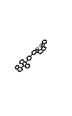 c1ccc2c(-c3c4ccccc4c(-c4ccc(-c5ccc6oc7c(ccc8ccc9c%10ccccc%10oc9c87)c6c5)cc4)c4ccccc34)cccc2c1